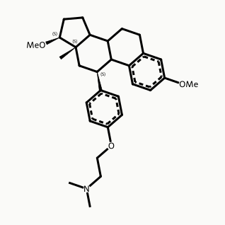 COc1ccc2c(c1)CCC1C2[C@@H](c2ccc(OCCN(C)C)cc2)C[C@@]2(C)C1CC[C@@H]2OC